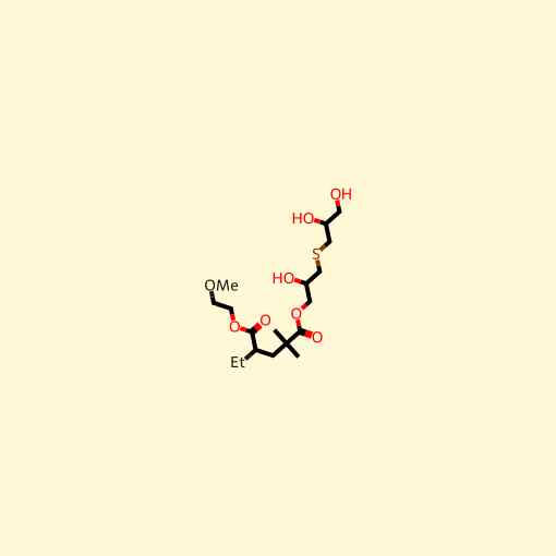 CCC(CC(C)(C)C(=O)OCC(O)CSCC(O)CO)C(=O)OCCOC